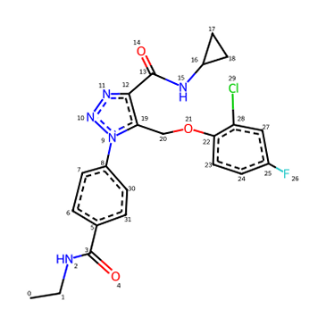 CCNC(=O)c1ccc(-n2nnc(C(=O)NC3CC3)c2COc2ccc(F)cc2Cl)cc1